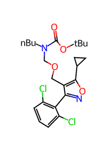 CCCCN(COCc1c(-c2c(Cl)cccc2Cl)noc1C1CC1)C(=O)OC(C)(C)C